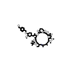 CCC1/C=C(\C)CC(C)CC(OC)C2OC(O)(C(=O)C(=O)N3CCCCC3C(=O)OC(C(C)=CC3CCC(OCc4ccc(C=O)cc4)C(OC)C3)C(C)C(O[Si](C)(C)C(C)(C)C)CC1=O)C(C)CC2OC